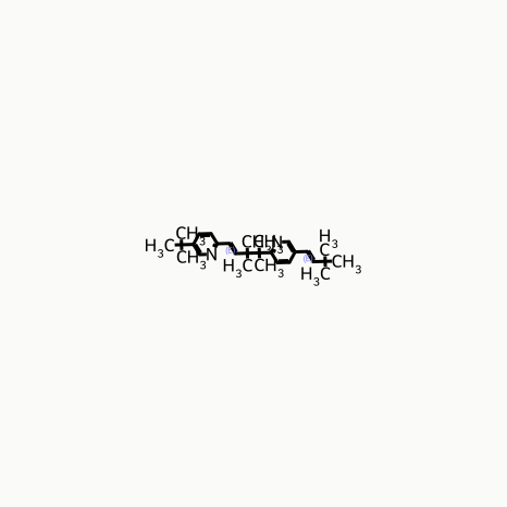 CC(C)(C)/C=C/c1ccc(C(C)(C)C(C)(C)/C=C/c2ccc(C(C)(C)C)cn2)nc1